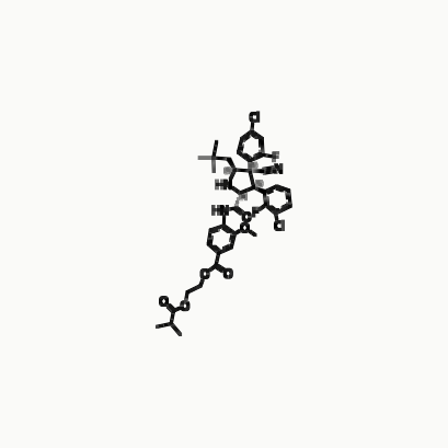 COc1cc(C(=O)OCCOC(=O)C(C)C)ccc1NC(=O)[C@@H]1N[C@@H](CC(C)(C)C)[C@](C#N)(c2ccc(Cl)cc2F)[C@H]1c1cccc(Cl)c1F